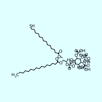 CCCCCCCCCCCCCCCC(=O)O[C@H](COC(=O)CCCCCCCCCCCCCS)COP(=O)(O)OC1C(O)[C@@H](OP(=O)(O)O)C(OP(=O)(O)O)[C@@H](OP(=O)(O)O)[C@H]1O